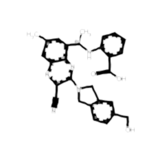 Cc1cc([C@@H](C)Nc2ccccc2C(=O)O)c2nc(N3Cc4ccc(CO)cc4C3)c(C#N)nc2c1